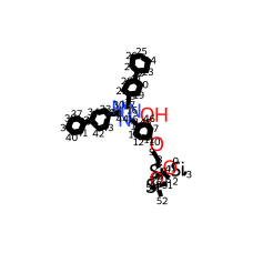 C[Si](C)(C)O[Si](C)(CCCOc1ccc(-c2nc(-c3ccc(-c4ccccc4)cc3)nc(-c3ccc(-c4ccccc4)cc3)n2)c(O)c1)O[Si](C)(C)C